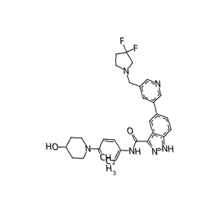 C=C(/C=C\C(=C/C)NC(=O)c1n[nH]c2ccc(-c3cncc(CN4CCC(F)(F)C4)c3)cc12)N1CCC(O)CC1